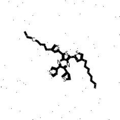 CCCCCCCCc1csc(-c2sc(-c3cc(CCCCCCCC)cs3)c3nc(-c4ccsc4)c(-c4ccsc4)nc23)c1